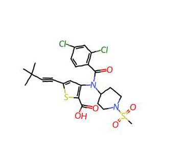 CC(C)(C)C#Cc1cc(N(C(=O)c2ccc(Cl)cc2Cl)C2CCN(S(C)(=O)=O)CC2)c(C(=O)O)s1